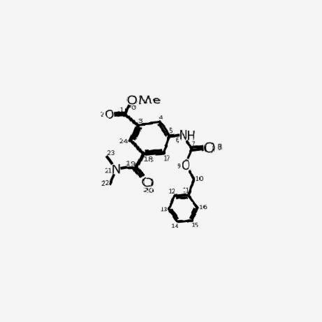 COC(=O)c1cc(NC(=O)OCc2ccccc2)cc(C(=O)N(C)C)c1